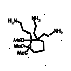 COC1(CCCN)C(CCN)(CCN)CCC[Si]1(OC)OC